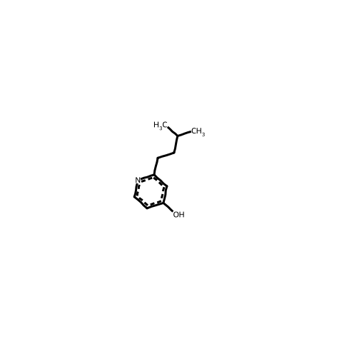 CC(C)CCc1cc(O)ccn1